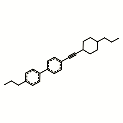 CCCc1ccc(-c2ccc(C#CC3CCC(CCC)CC3)cc2)cc1